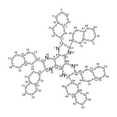 c1ccc2cc(-c3nc4c5nc(-c6ccc7ccccc7c6)c(-c6ccc7ccccc7c6)nc5c5nc(-c6ccc7ccccc7c6)c(-c6ccc7ccccc7c6)nc5c4nc3-c3ccc4ccccc4c3)ccc2c1